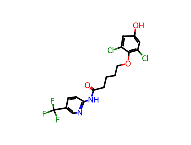 O=C(CCCCOc1c(Cl)cc(O)cc1Cl)Nc1ccc(C(F)(F)F)cn1